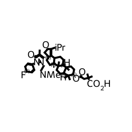 CNCCn1c([C@@]23CC[C@]4(C)C(CC[C@@H]5C6(C)CC[C@H](OC(=O)CC(C)(C)C(=O)O)C(C)(C)[C@@H]6CCC54C)C2=C(C(C)C)C(=O)C3)c(C)c(=O)n1C1=CC[C@H](F)C=C1